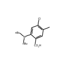 CCCCN(CCCC)c1cc(Cl)c(C)cc1C(=O)O